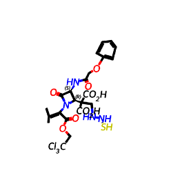 CC(C)=C(C(=O)OCC(Cl)(Cl)Cl)N1C(=O)[C@@H](NC(=O)COc2ccccc2)[C@H]1C(CNNS)(C(=O)O)C(=O)O